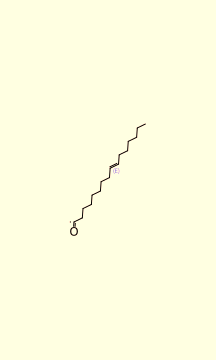 CCCCCC/C=C/CCCCCCC[C]=O